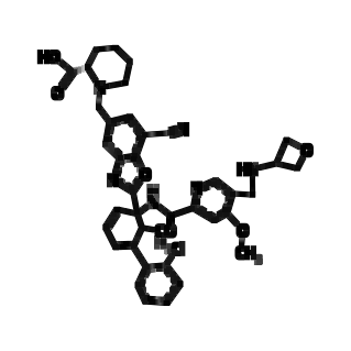 COc1cc(C(=O)NC2(c3nc4cc(CN5CCCC[C@H]5C(=O)O)cc(C#N)c4o3)C=CC=C(c3ccccc3Cl)C2C)ncc1CNC1COC1